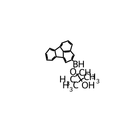 CC(C)(O)C(C)(C)OBc1cc2c3c(cccc3c1)-c1ccccc1-2